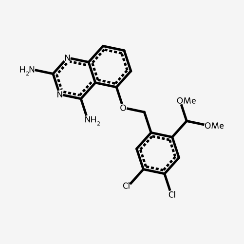 COC(OC)c1cc(Cl)c(Cl)cc1COc1cccc2nc(N)nc(N)c12